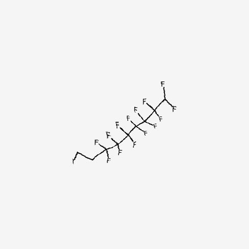 FC(F)C(F)(F)C(F)(F)C(F)(F)C(F)(F)C(F)(F)C(F)(F)CCI